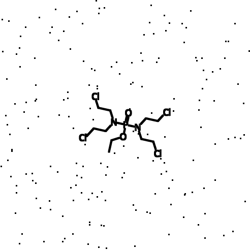 CCOP(=O)(N(CCCl)CCCl)N(CCCl)CCCl